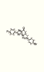 O=c1cc(CNc2ccc(Br)cc2)[nH]c2nc(-c3ccc(F)cc3)nn12